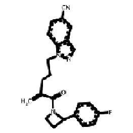 C=C(CCCn1ncc2cc(C#N)ccc21)C(=O)N1CCC1c1ccc(F)cc1